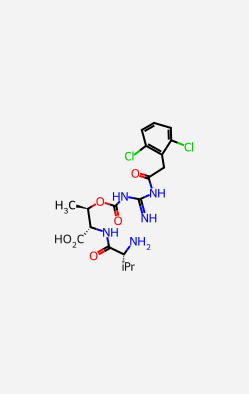 CC(C)[C@@H](N)C(=O)N[C@H](C(=O)O)[C@@H](C)OC(=O)NC(=N)NC(=O)Cc1c(Cl)cccc1Cl